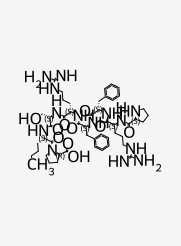 CCCC[C@H](NC(=O)[C@H](CO)NC(=O)[C@H](CCCNC(=N)N)NC(=O)[C@H](Cc1ccccc1)NC(=O)[C@H](Cc1ccccc1)NC(=O)[C@H](CCCNC(=N)N)NC(=O)[C@@H]1CCCN1)C(=O)N1CCC[C@@H]1C(=O)O